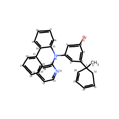 CC1(c2cc(Br)cc(N(c3ccccn3)c3ccccc3-c3ccccc3)c2)C=CC=CC1